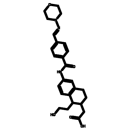 O=C(O)CC1CCc2cc(NC(=O)c3ccc(C=NN4CCOCC4)cc3)ccc2C1CCO